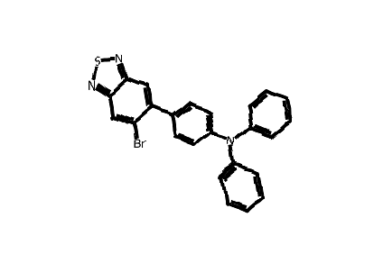 Brc1cc2nsnc2cc1-c1ccc(N(c2ccccc2)c2ccccc2)cc1